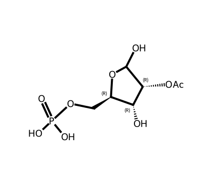 CC(=O)O[C@H]1C(O)O[C@H](COP(=O)(O)O)[C@H]1O